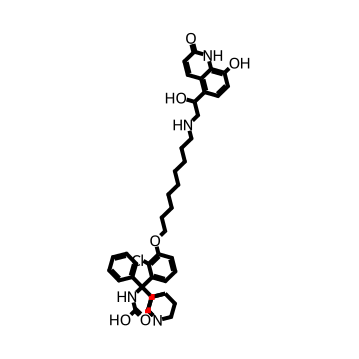 O=C(O)NC(c1ccccc1)(c1cccc(OCCCCCCCCCNCC(O)c2ccc(O)c3[nH]c(=O)ccc23)c1Cl)C1CN2CCC1CC2